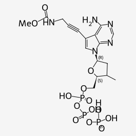 COC(=O)NCC#Cc1cn([C@H]2CC(C)[C@@H](COP(=O)(O)OP(=O)(O)OP(=O)(O)O)O2)c2ncnc(N)c12